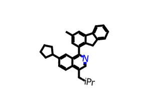 Cc1cc2c(c(-c3ncc(CC(C)C)c4ccc(C5CCCC5)cc34)c1)Cc1ccccc1-2